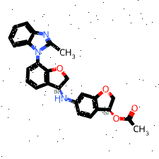 CC(=O)O[C@@H]1COc2cc(N[C@@H]3COc4c3cccc4-n3c(C)nc4ccccc43)ccc21